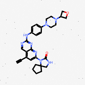 C#Cc1cc(N2C(=O)NCC23CCCC3)nc2nc(Nc3ccc(N4CCN(C5COC5)CC4)cc3)ncc12